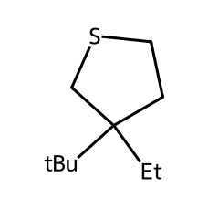 CCC1(C(C)(C)C)CCSC1